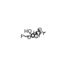 CC(C)C[C@@H]1CN2CCc3cc(OCCCF)c(CO)cc3[C@H]2CC12CO2